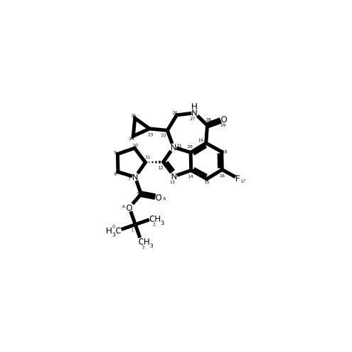 CC(C)(C)OC(=O)N1CCC[C@@H]1c1nc2cc(F)cc3c2n1C(C1CC1)CNC3=O